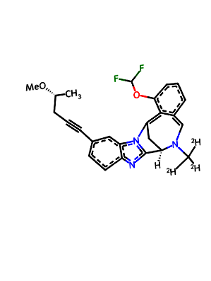 [2H]C([2H])([2H])N1C=c2cccc(OC(F)F)c2=C2C[C@@H]1c1nc3ccc(C#CC[C@@H](C)OC)cc3n12